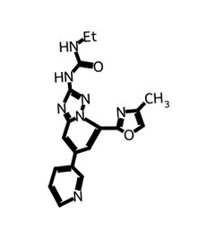 CCNC(=O)Nc1nc2cc(-c3cccnc3)cc(-c3nc(C)co3)n2n1